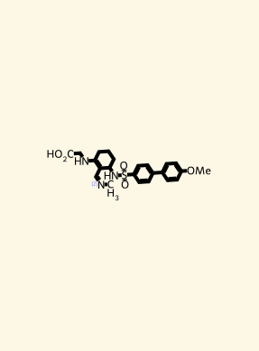 C/N=C\C1=C(NCC(=O)O)CCCC1NS(=O)(=O)c1ccc(-c2ccc(OC)cc2)cc1